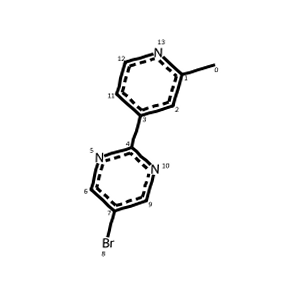 Cc1cc(-c2ncc(Br)cn2)ccn1